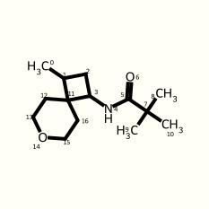 CC1CC(NC(=O)C(C)(C)C)C12CCOCC2